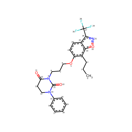 CCCc1c(OCCCN2C(=O)CCN(c3ccccc3)C2=O)ccc2c(C(F)(F)F)noc12